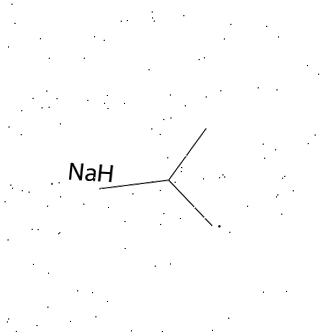 [CH2]C(C)C.[NaH]